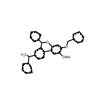 COc1cc2c(cc1OCc1ccccc1)OC(c1ccccc1)c1cc(C(C)c3ccccc3)ccc1-2